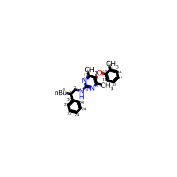 CCCCC(CNc1nc(C)c(Oc2ccccc2C)c(C)n1)c1ccccc1